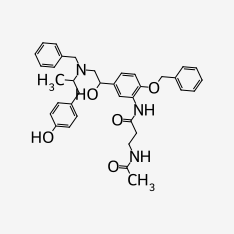 CC(=O)NCCC(=O)Nc1cc(C(O)CN(Cc2ccccc2)C(C)Cc2ccc(O)cc2)ccc1OCc1ccccc1